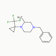 CC1CN(Cc2ccccc2)CCN1C1(C(F)(F)F)CC1